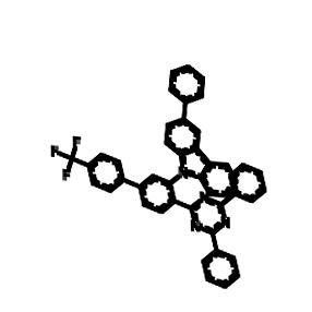 FC(F)(F)c1ccc(-c2ccc(-c3nc(-c4ccccc4)nc(-c4ccccc4)n3)c(-n3c4ccccc4c4cc(-c5ccccc5)ccc43)c2)cc1